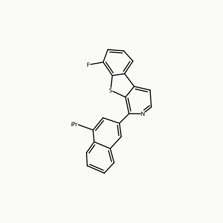 CC(C)c1cc(-c2nccc3c2sc2c(F)cccc23)cc2ccccc12